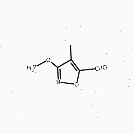 Cc1c(OP)noc1C=O